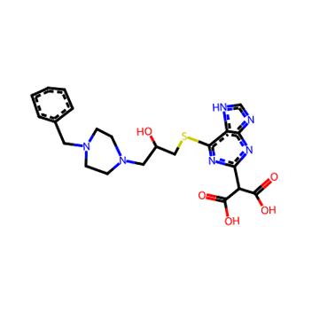 O=C(O)C(C(=O)O)c1nc(SCC(O)CN2CCN(Cc3ccccc3)CC2)c2[nH]cnc2n1